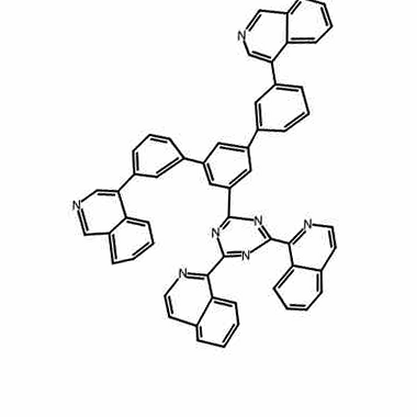 c1cc(-c2cc(-c3cccc(-c4cncc5ccccc45)c3)cc(-c3nc(-c4nccc5ccccc45)nc(-c4nccc5ccccc45)n3)c2)cc(-c2cncc3ccccc23)c1